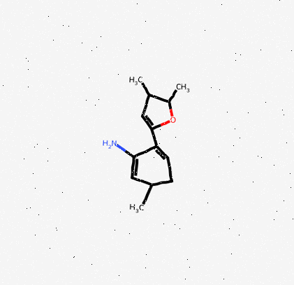 CC1C=C(N)C(C2=CC(C)C(C)O2)=CC1